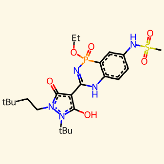 CCOP1(=O)N=C(c2c(O)n(C(C)(C)C)n(CCC(C)(C)C)c2=O)Nc2ccc(NS(C)(=O)=O)cc21